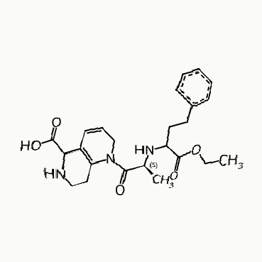 CCOC(=O)C(CCc1ccccc1)N[C@@H](C)C(=O)N1CC=CC2=C1CCNC2C(=O)O